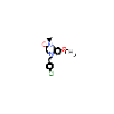 COc1ccc2c(c1)CN(C1CC1)C(=O)CCN2CCc1ccc(Cl)cc1